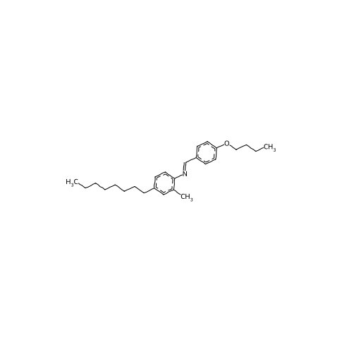 CCCCCCCCc1ccc(N=Cc2ccc(OCCCC)cc2)c(C)c1